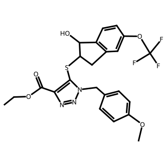 CCOC(=O)c1nnn(Cc2ccc(OC)cc2)c1SC1Cc2cc(OC(F)(F)F)ccc2C1O